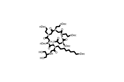 CCCCCCCCCCCCCCCCCCN(CC(=O)N(CCCCCCCCCC)CC(=O)N(CCCCCCCCCCCC)CC(=O)N(CCCCCCCCCCCC)CC(=O)N(CCCCCCCCCCCC)CC(=O)N(CCCCCCCCCC)CC(N)=O)C(=O)CNC(CO)CO